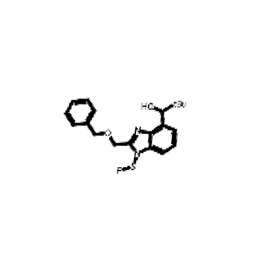 CC(C)(C)C(O)c1cccc2c1nc(COCc1ccccc1)n2SF